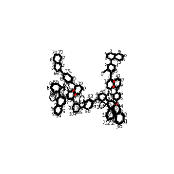 Cc1cc(-c2cccc3ccccc23)ccc1-c1ccc(N(c2cc(-c3ccc4ccccc4c3)ccc2-c2ccccc2)c2ccc(-c3ccc4c(c3)oc3c(-c5ccc(N(c6cc(-c7ccc8ccccc8c7)ccc6-c6ccccc6)c6cccc7oc8c9ccccc9ccc8c67)cc5)cccc34)c3oc4c5ccccc5ccc4c23)cc1